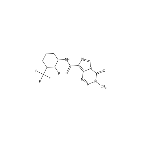 Cn1nnc2c(C(=O)NC3CCCC(C(F)(F)F)C3F)ncn2c1=O